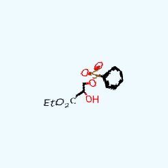 CCOC(=O)CC(O)COS(=O)(=O)c1ccccc1